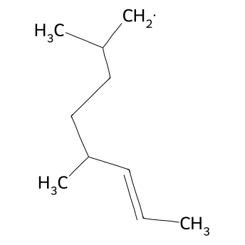 [CH2]C(C)CCC(C)C=CC